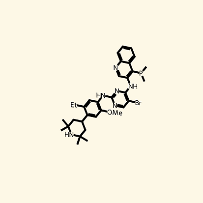 CCc1cc(Nc2ncc(Br)c(Nc3cnc4ccccc4c3P(C)C)n2)c(OC)cc1C1CC(C)(C)NC(C)(C)C1